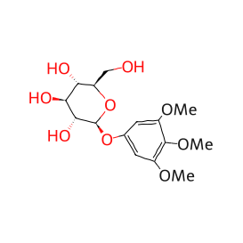 COc1cc(O[C@@H]2O[C@H](CO)[C@@H](O)[C@H](O)[C@H]2O)cc(OC)c1OC